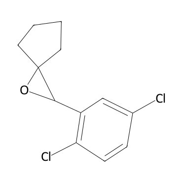 Clc1ccc(Cl)c(C2OC23CCCC3)c1